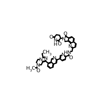 CCc1nc(-c2cccc3cc(-c4ccc(C(=O)NCc5ccc6ccc7c(c6n5)CN(C5CCC(=O)NC5=O)C7=O)nc4)ncc23)c2n1CCN(C(C)=O)C2